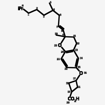 CC(C)CCCC(C)C/C=C/C1(C)CCc2cc(OC3CC(C(=O)O)C3)ccc2O1